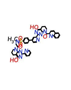 CN(CC(=O)N1CCCc2c(O)nc(-c3ccccn3)nc21)S(=O)(=O)c1ccc(-c2ccnc(-c3nc(O)c4c(n3)N(C(=O)c3ccc5ccccc5n3)CCC4)c2)cc1